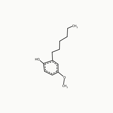 CCCCCCc1cc(OC)ccc1O